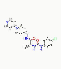 O=C(Nc1ccc(Cl)cc1)NC(C(=O)NCC1CCN(c2ccncc2)CC1)C(F)(F)F